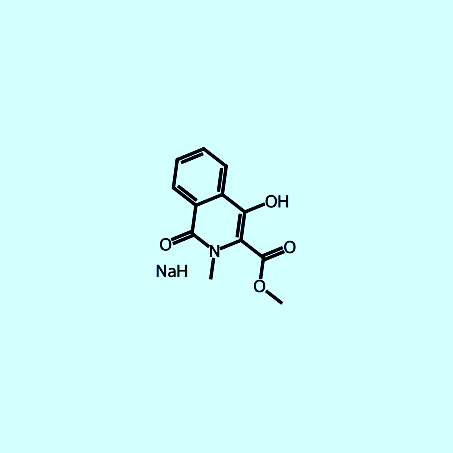 COC(=O)c1c(O)c2ccccc2c(=O)n1C.[NaH]